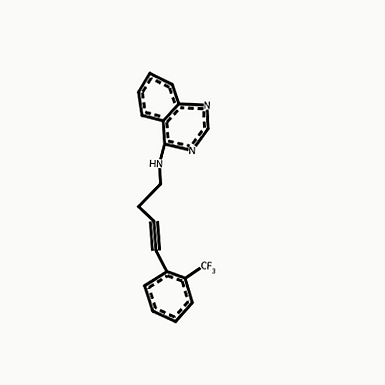 FC(F)(F)c1ccccc1C#CCCNc1ncnc2ccccc12